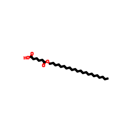 CCCCCCCCCCCCCCCCCCCCCCOC(=O)CCCCC(=O)O